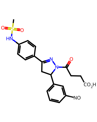 CS(=O)(=O)Nc1ccc(C2=NN(C(=O)CCC(=O)O)C(c3cccc(N=O)c3)C2)cc1